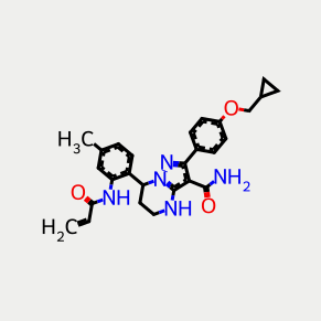 C=CC(=O)Nc1cc(C)ccc1C1CCNc2c(C(N)=O)c(-c3ccc(OCC4CC4)cc3)nn21